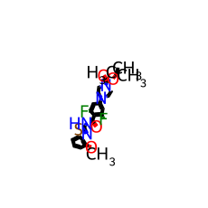 COc1cccc2sc(NC(=O)c3c(F)cc(N4CCN(C(=O)OC(C)(C)C)CC4)cc3F)nc12